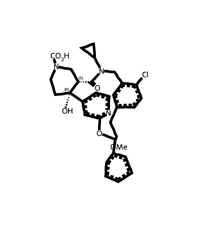 COCCc1ccc(Cl)c(CN(C(=O)[C@H]2CN(C(=O)O)CC[C@]2(O)c2ccnc(OCc3ccccc3)c2)C2CC2)c1